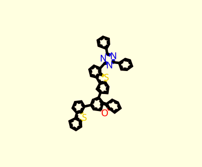 c1ccc(-c2nc(-c3ccccc3)nc(-c3cccc4c3sc3ccc(-c5cc(-c6cccc7c6sc6ccccc67)cc6oc7ccccc7c56)cc34)n2)cc1